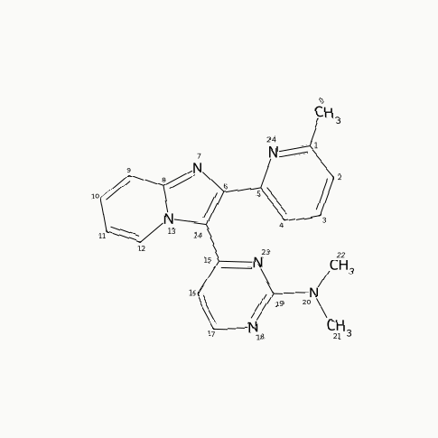 Cc1cccc(-c2nc3ccccn3c2-c2ccnc(N(C)C)n2)n1